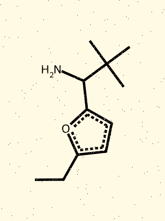 CCc1ccc(C(N)C(C)(C)C)o1